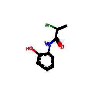 C=C(Br)C(=O)Nc1ccccc1O